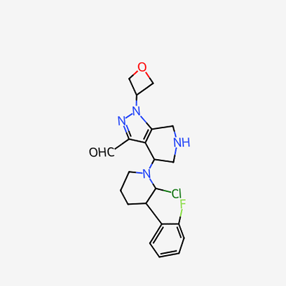 O=Cc1nn(C2COC2)c2c1C(N1CCCC(c3ccccc3F)C1Cl)CNC2